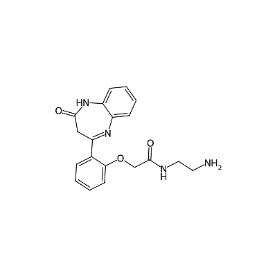 NCCNC(=O)COc1ccccc1C1=Nc2ccccc2NC(=O)C1